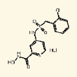 Cl.O=C(NO)c1cc(NS(=O)(=O)Cc2ccccc2Cl)ccn1